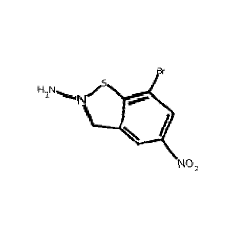 NN1Cc2cc([N+](=O)[O-])cc(Br)c2S1